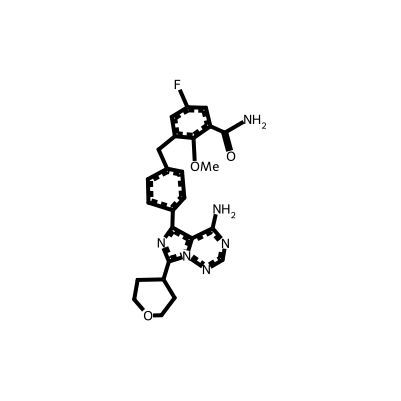 COc1c(Cc2ccc(-c3nc(C4CCOCC4)n4ncnc(N)c34)cc2)cc(F)cc1C(N)=O